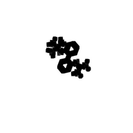 CN(C)C(=Nc1ccccc1-c1ccccc1N=P(N(C)C)(N(C)C)N(C)C)N(C)C